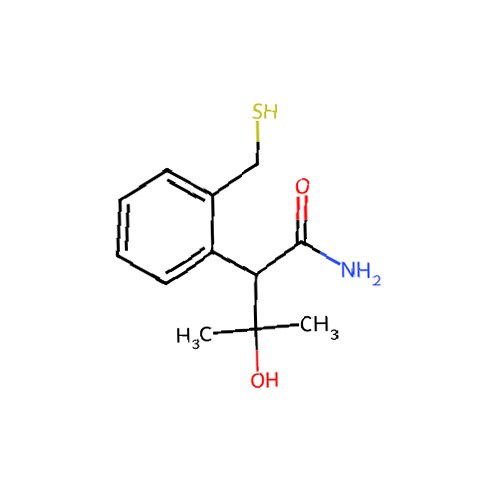 CC(C)(O)C(C(N)=O)c1ccccc1CS